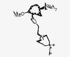 COc1ccc(N)cc1OCCN1CCC(F)(F)CC1